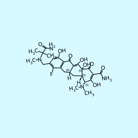 CN(C)[C@@H]1C(O)=C(C(N)=O)C(=O)[C@@]2(O)C(O)=C3C(=O)c4c(O)cc(CN(C)C(C)(C)C(N)=O)c(F)c4C[C@H]3C[C@@H]12